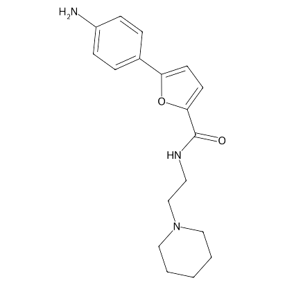 Nc1ccc(-c2ccc(C(=O)NCCN3CCCCC3)o2)cc1